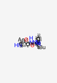 CC(=O)C(=O)C(c1cccc(NC(=O)Nc2cc(C(C)(C)C)nn2-c2ccc(C)cc2)c1)C1CCNCC1